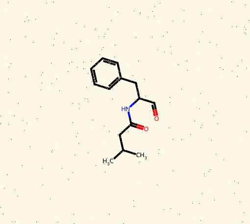 CC(C)[CH]C(=O)NC(C=O)Cc1ccccc1